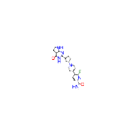 CNC(=O)c1ccc(C2=CCN(C3C=C(c4nc5c(c(=O)[nH]4)CCN5)CC3)CC2)c(F)n1